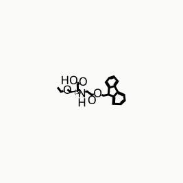 CCOC[C@H](NCC(=O)OCC1c2ccccc2-c2ccccc21)C(=O)O